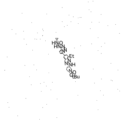 CCc1cc(-c2ccc3c(NC(=O)NC4CC4)ncnn23)cc2cnc(N[C@H]3CCCN(C(=O)OC(C)(C)C)C3)nc12